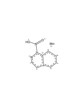 O=C(O)c1nccc2ccccc12.[Mn]